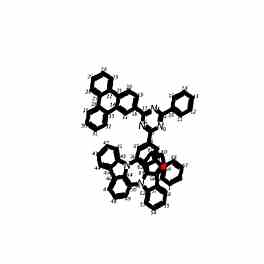 c1ccc(-c2cc(-c3nc(-c4ccccc4)nc(-c4ccc5c6ccccc6c6ccccc6c5c4)n3)cc(-n3c4ccccc4c4cccc(-n5c6ccccc6c6ccccc65)c43)c2)cc1